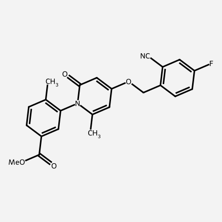 COC(=O)c1ccc(C)c(-n2c(C)cc(OCc3ccc(F)cc3C#N)cc2=O)c1